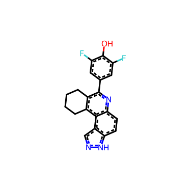 Oc1c(F)cc(-c2nc3ccc4[nH]ncc4c3c3c2CCCC3)cc1F